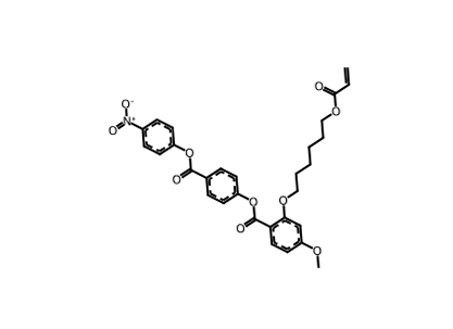 C=CC(=O)OCCCCCCOc1cc(OC)ccc1C(=O)Oc1ccc(C(=O)Oc2ccc([N+](=O)[O-])cc2)cc1